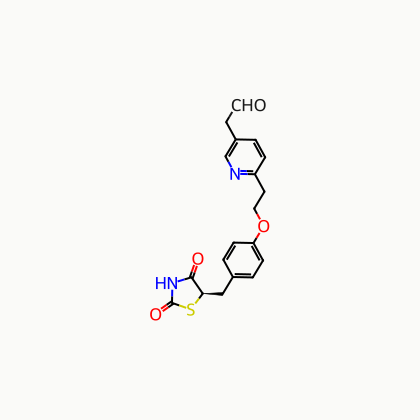 O=CCc1ccc(CCOc2ccc(C[C@H]3SC(=O)NC3=O)cc2)nc1